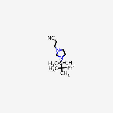 CC(C)C(C)(C)[Si](C)(C)N1CCN(CCC#N)C1